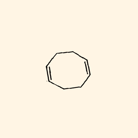 [C]1=C\CC/C=C\CC/1